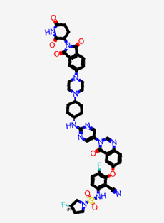 N#Cc1c(NS(=O)(=O)N2CC[C@@H](F)C2)ccc(F)c1Oc1ccc2ncn(-c3cnc(N[C@H]4CC[C@H](N5CCN(c6ccc7c(c6)C(=O)N(C6CCC(=O)NC6=O)C7=O)CC5)CC4)nc3)c(=O)c2c1